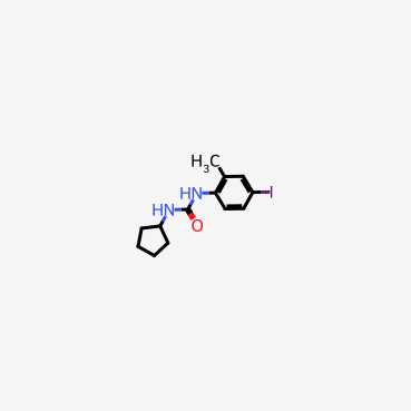 Cc1cc(I)ccc1NC(=O)NC1CCCC1